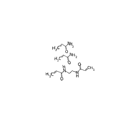 C=CC(=O)NCCNC(=O)C=C.C=CC(N)=O.C=CC(N)=O